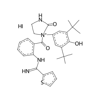 CC(C)(C)c1cc([N+]2(C(=O)c3ccccc3NC(=N)c3cccs3)CCNC2=O)cc(C(C)(C)C)c1O.I